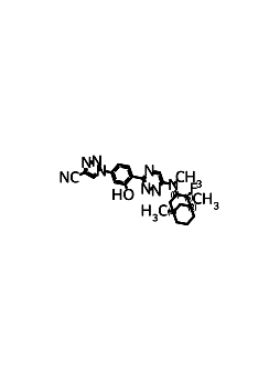 CN(c1cnc(-c2ccc(-n3cc(C#N)nn3)cc2O)nn1)[C@@H]1C[C@@]2(C)CCC[C@](C)(C2)[C@@H]1F